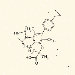 Cc1c(OC(C)(C)C(=O)O)c(C)c(N2C(=O)CNC2=O)c(C)c1-c1ccc(C2CC2)cc1